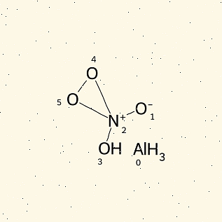 [AlH3].[O-][N+]1(O)OO1